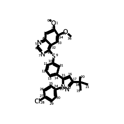 COc1cc2ncnc(Sc3cccc(-c4cc(C(C)(C)C)nn4-c4ccc(Cl)cc4)c3)c2cc1OC